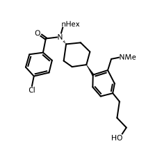 CCCCCCN(C(=O)c1ccc(Cl)cc1)[C@H]1CC[C@H](c2ccc(CCCO)cc2CNC)CC1